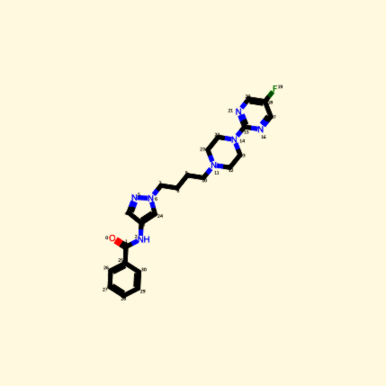 O=C(Nc1cnn(CCCCN2CCN(c3ncc(F)cn3)CC2)c1)c1ccccc1